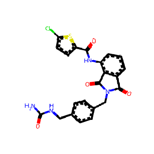 NC(=O)NCc1ccc(CN2C(=O)c3cccc(NC(=O)c4ccc(Cl)s4)c3C2=O)cc1